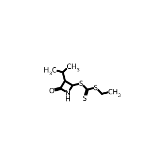 CCSC(=S)SC1NC(=O)C1C(C)C